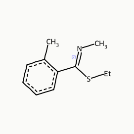 CCS/C(=N\C)c1ccccc1C